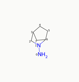 NN1CC2CCC1C2